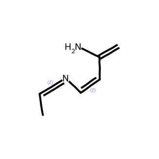 C=C(N)/C=C\N=C/C